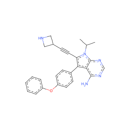 CC(C)n1c(C#CC2CNC2)c(-c2ccc(Oc3ccccc3)cc2)c2c(N)ncnc21